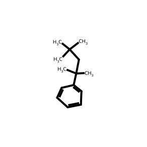 CC(C)(C)CC(C)(C)c1ccccc1